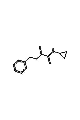 O=C([CH]Cc1ccccc1)C(=O)NC1CC1